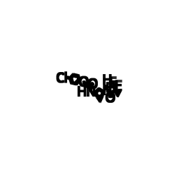 O=C(COc1ccc(Cl)cc1)N[C@H]1C[C@@H](NC(=O)C2(C(F)(F)F)CC2)C2CC21